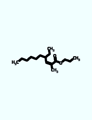 CCCCCCC(C=C(C)C(=O)OCCC)CC